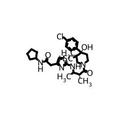 CC(Nc1nc(CC(=O)NC2CCCC2)cs1)[C@@H](C)C(=O)N1CC[C@](O)(c2ccc(Cl)cc2)C(C)(C)C1